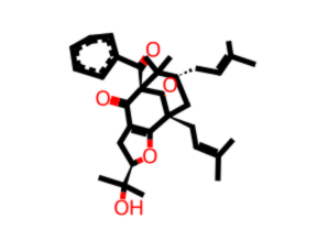 CC(C)=CC[C@@H]1C[C@@]2(CC=C(C)C)C(=O)[C@](C(=O)c3ccccc3)(C(=O)C3=C2O[C@@H](C(C)(C)O)C3)C1(C)C